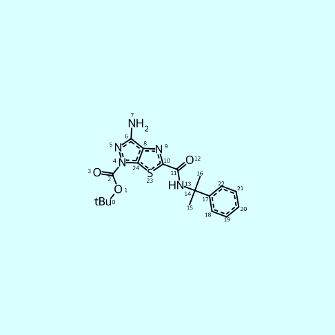 CC(C)(C)OC(=O)n1nc(N)c2nc(C(=O)NC(C)(C)c3ccccc3)sc21